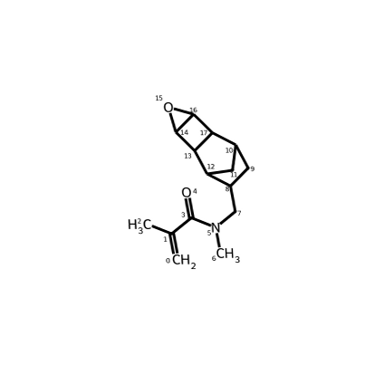 C=C(C)C(=O)N(C)CC1CC2CC1C1C3OC3C21